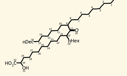 CCCCCCCCCCCCCCCCCCC(CCCCCCCCCCCCCCCC)C(=O)C(CCCCCC)CCCCCCCCCC(O)C(=O)O